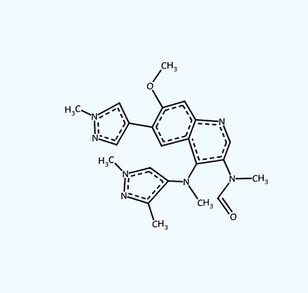 COc1cc2ncc(N(C)C=O)c(N(C)c3cn(C)nc3C)c2cc1-c1cnn(C)c1